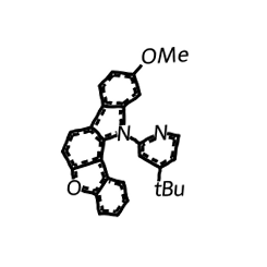 COc1ccc2c3ccc4oc5ccccc5c4c3n(-c3cc(C(C)(C)C)ccn3)c2c1